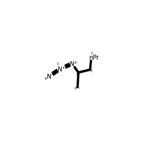 [CH2]C(CCCC)N=[N+]=[N-]